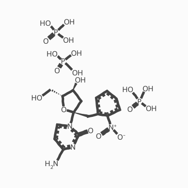 Nc1ccn([C@@]2(Cc3ccccc3[N+](=O)[O-])C[C@H](O)[C@@H](CO)O2)c(=O)n1.O=P(O)(O)O.O=P(O)(O)O.O=P(O)(O)O